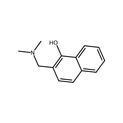 CN(C)Cc1ccc2ccccc2c1O